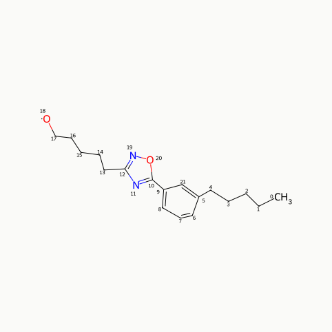 CCCCCc1cccc(-c2nc(CCCCC[O])no2)c1